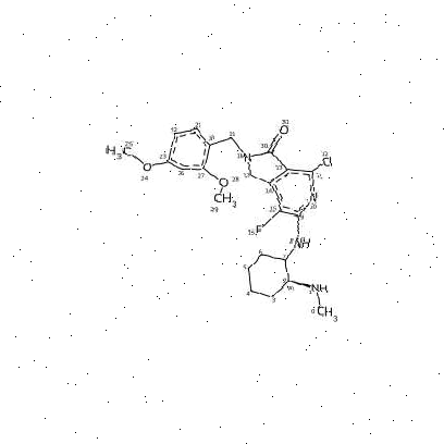 CN[C@H]1CCCCC1Nc1nc(Cl)c2c(c1F)CN(Cc1ccc(OC)cc1OC)C2=O